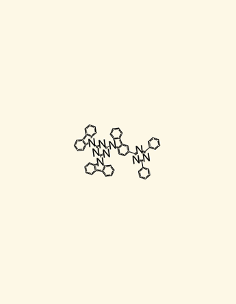 c1ccc(-c2nc(-c3ccccc3)nc(-c3ccc4c(c3)c3ccccc3n4-c3nc(-n4c5ccccc5c5ccccc54)nc(-n4c5ccccc5c5ccccc54)n3)n2)cc1